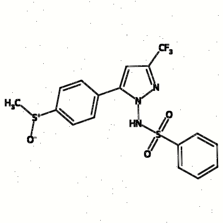 C[S+]([O-])c1ccc(-c2cc(C(F)(F)F)nn2NS(=O)(=O)c2ccccc2)cc1